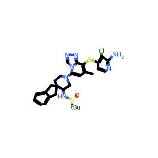 Cc1cc(N2CCC3(Cc4ccccc4C3)C(N[S+]([O-])C(C)(C)C)C2)n2cnnc2c1Sc1ccnc(N)c1Cl